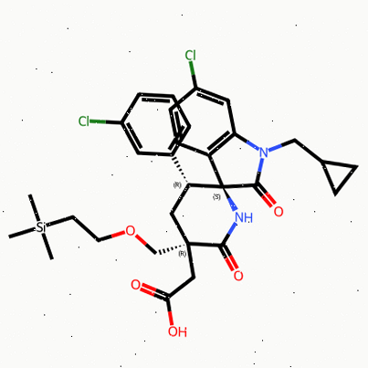 C[Si](C)(C)CCOC[C@]1(CC(=O)O)C[C@H](c2cccc(Cl)c2)[C@@]2(NC1=O)C(=O)N(CC1CC1)c1cc(Cl)ccc12